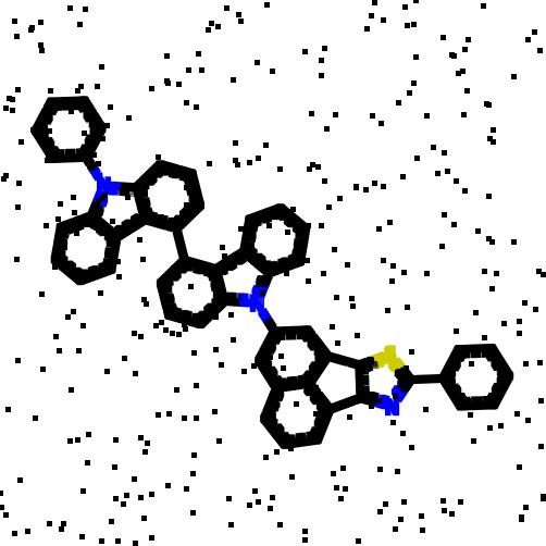 c1ccc(-c2nc3c(s2)-c2cc(-n4c5ccccc5c5c(-c6cccc7c6c6ccccc6n7-c6ccccc6)cccc54)cc4cccc-3c24)cc1